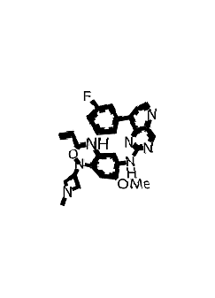 C=CC(=O)Nc1cc(Nc2ncc3nccc(-c4cccc(F)c4)c3n2)c(OC)cc1N(C)C1CN(C)C1